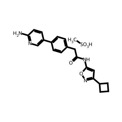 CS(=O)(=O)O.Nc1ccc(-c2ccc(CC(=O)Nc3cc(C4CCC4)no3)cc2)cn1